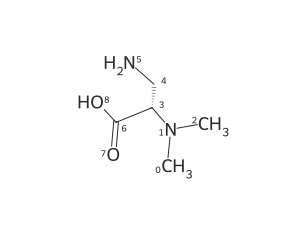 CN(C)[C@@H](CN)C(=O)O